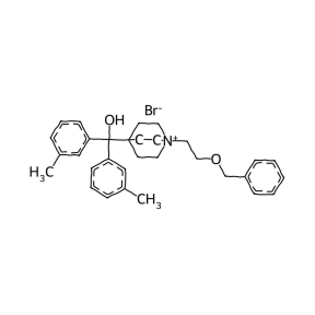 Cc1cccc(C(O)(c2cccc(C)c2)C23CC[N+](CCOCc4ccccc4)(CC2)CC3)c1.[Br-]